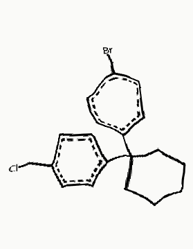 Clc1ccc(C2(c3ccc(Br)cc3)CCCCC2)cc1